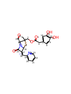 CC1(COC(=O)Cc2ccc(O)c(O)c2)SC2/C(=C\c3ccccn3)C(=O)N2[C@H]1C=O